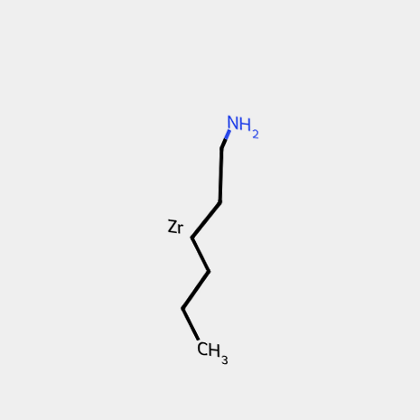 CCCCCCN.[Zr]